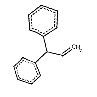 C=[C]C(c1ccccc1)c1ccccc1